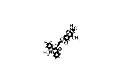 C/C(=C1\SC(=O)NC1=O)c1ccc(OCCCOc2c(-c3ccc(F)cc3)n(C)c3ccccc3c2=O)c(Cl)c1